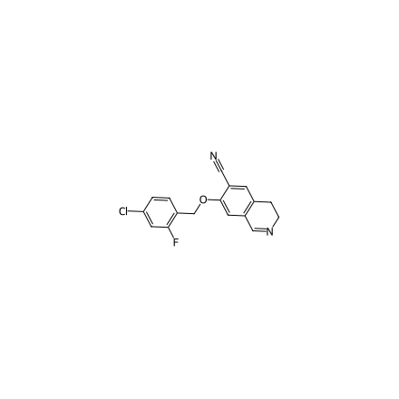 N#Cc1cc2c(cc1OCc1ccc(Cl)cc1F)C=NCC2